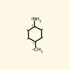 CC1CC[C](N)CC1